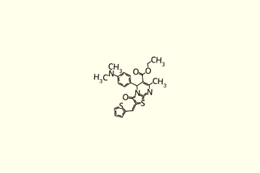 CCOC(=O)C1=C(C)N=c2s/c(=C/c3cccs3)c(=O)n2C1c1ccc(N(C)C)cc1